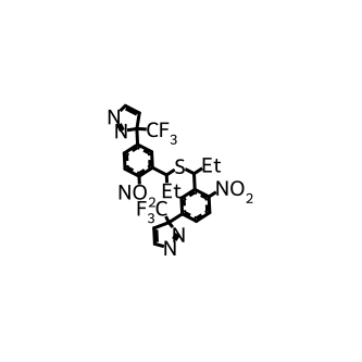 CCC(SC(CC)c1cc(C2(C(F)(F)F)C=CN=N2)ccc1[N+](=O)[O-])c1cc(C2(C(F)(F)F)C=CN=N2)ccc1[N+](=O)[O-]